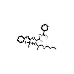 CCCCOCC(C)O[C@@H](O/C(=N/c1ccccc1)C(F)(F)F)[C@H](C)OC(=O)c1ccccc1